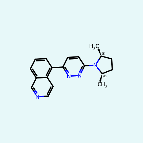 C[C@@H]1CC[C@H](C)N1c1ccc(-c2cccc3cnccc23)nn1